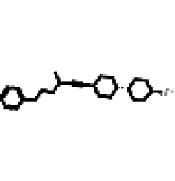 CCC[C@H]1CC[C@H](C2CCC(C#CC(C)CCCc3ccccc3)CC2)CC1